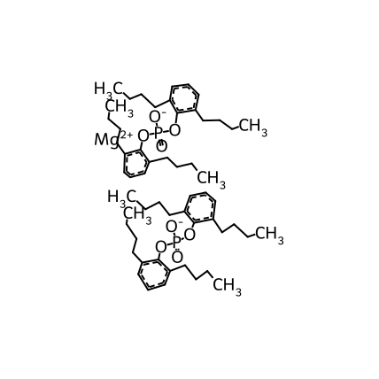 CCCCc1cccc(CCCC)c1OP(=O)([O-])Oc1c(CCCC)cccc1CCCC.CCCCc1cccc(CCCC)c1OP(=O)([O-])Oc1c(CCCC)cccc1CCCC.[Mg+2]